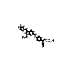 CC#CC(CC(=O)O)c1ccc(OCc2ccc3c(CN4CCC(F)(F)C4)cn(CC(C)C)c3n2)cc1